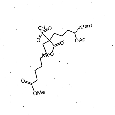 CCCCCC(CCCC(CCCCCCC(=O)OC)(C(=O)OC)S(C)(=O)=O)OC(C)=O